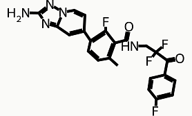 Cc1ccc(-c2ccn3nc(N)nc3c2)c(F)c1C(=O)NCC(F)(F)C(=O)c1ccc(F)cc1